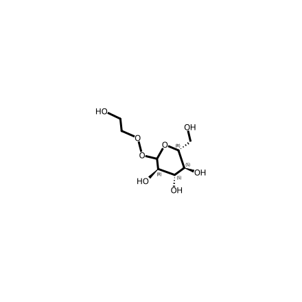 OCCOOC1O[C@H](CO)[C@@H](O)[C@H](O)[C@H]1O